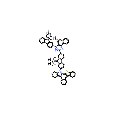 CC1(C)c2ccccc2-c2ccc(-c3nc(-c4ccc5c(c4)C(C)(C)c4cc(-n6c7ccccc7c7c8ccccc8c8c9ccccc9sc8c76)ccc4-5)nc4c3ccc3ccccc34)cc21